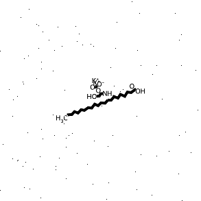 CCCCCCCCCCCCCCCCCCCCCC(=O)O.NCCO.O=C([O-])[O-].[K+].[K+]